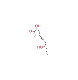 CCCC(O)CC#CC1CC(O)C(=O)C1C